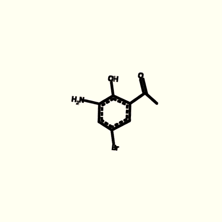 CC(=O)c1cc(Br)cc(N)c1O